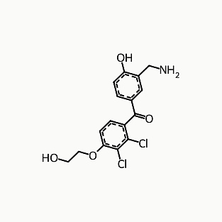 NCc1cc(C(=O)c2ccc(OCCO)c(Cl)c2Cl)ccc1O